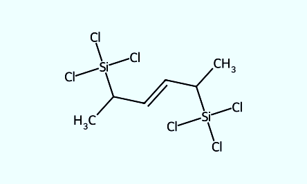 CC(C=CC(C)[Si](Cl)(Cl)Cl)[Si](Cl)(Cl)Cl